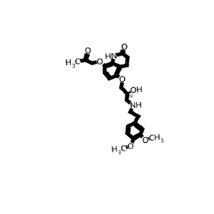 COc1ccc(CCNC[C@H](O)COc2ccc(OCC(C)=O)c3c2CCC(=O)N3)cc1OC